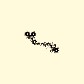 C[N+](C)(CCOCCOCCN1CCC(OC(=O)NC(c2ccccc2)c2ccccc2)CC1)CCN1C(=O)c2ccccc2C1=O